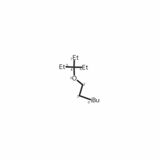 CCC(C)CCOC(CC)(CC)CC